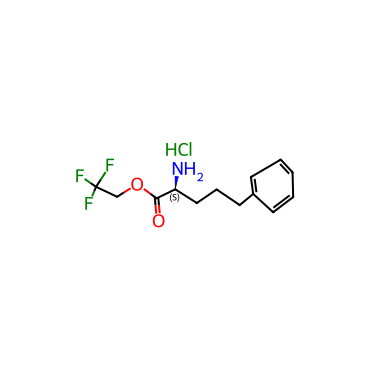 Cl.N[C@@H](CCCc1ccccc1)C(=O)OCC(F)(F)F